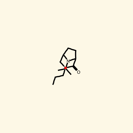 CCCN1CC2CCC(C1=O)N2C(C)C